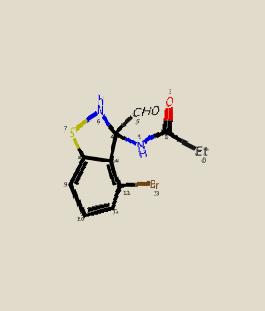 CCC(=O)NC1(C=O)NSc2cccc(Br)c21